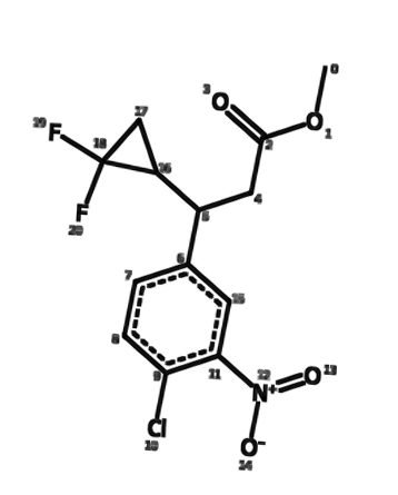 COC(=O)CC(c1ccc(Cl)c([N+](=O)[O-])c1)C1CC1(F)F